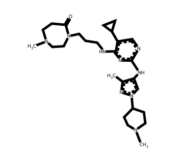 Cc1nn(C2CCN(C)CC2)cc1Nc1ncc(C2CC2)c(NCCCN2CCN(C)CCC2=O)n1